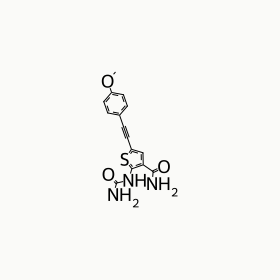 COc1ccc(C#Cc2cc(C(N)=O)c(NC(N)=O)s2)cc1